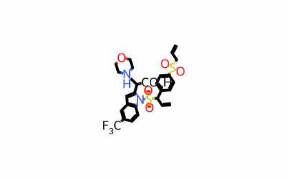 C1COCCN1.C=CCS(=O)(=O)c1ccc(C(C=C)S(=O)(=O)n2c(C(C)C(=O)O)cc3cc(C(F)(F)F)ccc32)cc1